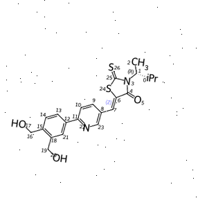 CC(C)[C@@H](C)N1C(=O)/C(=C/c2ccc(-c3ccc(CO)c(CO)c3)nc2)SC1=S